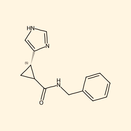 O=C(NCc1ccccc1)C1C[C@@H]1c1c[nH]cn1